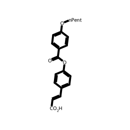 CCCCCOc1ccc(C(=O)Oc2ccc(C=CC(=O)O)cc2)cc1